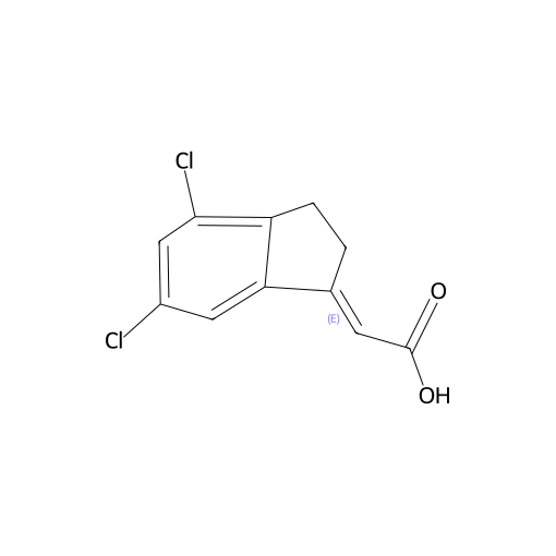 O=C(O)/C=C1\CCc2c(Cl)cc(Cl)cc21